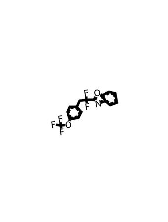 FC(F)(F)Oc1ccc(CC(F)(F)c2nc3ccccc3o2)cc1